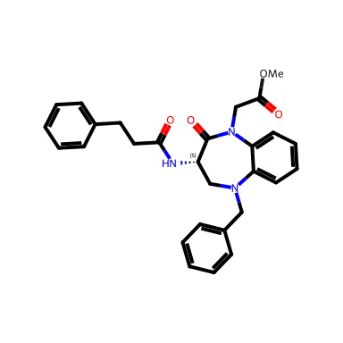 COC(=O)CN1C(=O)[C@@H](NC(=O)CCc2ccccc2)CN(Cc2ccccc2)c2ccccc21